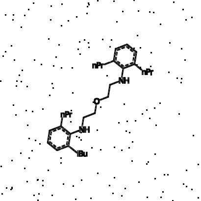 CCCc1cccc(CCC)c1NCCOCCNc1c(CCC)cccc1C(C)CC